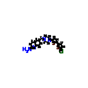 Nc1ccc2cc(CN3CCN(c4ccc(-c5ccc(Cl)s5)s4)CC3)ccc2n1